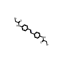 O=C(CBr)Nc1ccc(/C=C/c2ccc(NC(=O)CBr)cc2)cc1